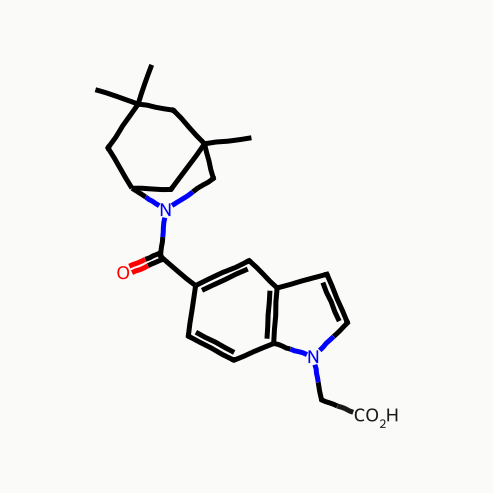 CC1(C)CC2CC(C)(CN2C(=O)c2ccc3c(ccn3CC(=O)O)c2)C1